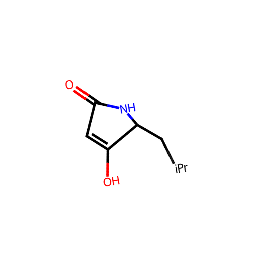 CC(C)CC1NC(=O)C=C1O